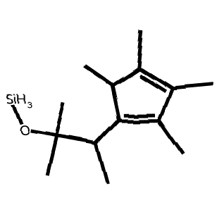 CC1=C(C)C(C)C(C(C)C(C)(C)O[SiH3])=C1C